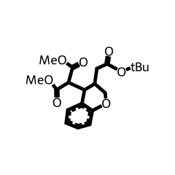 COC(=O)C(C(=O)OC)C1c2ccccc2OCC1CC(=O)OC(C)(C)C